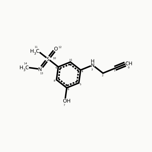 C#CCNc1cc(O)cc(S(C)(=O)=NC)c1